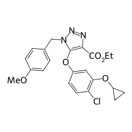 CCOC(=O)c1nnn(Cc2ccc(OC)cc2)c1Oc1ccc(Cl)c(OC2CC2)c1